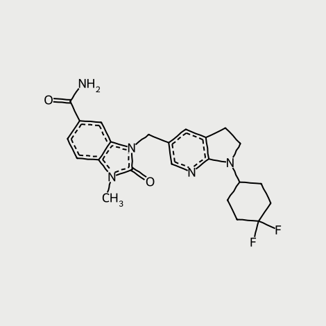 Cn1c(=O)n(Cc2cnc3c(c2)CCN3C2CCC(F)(F)CC2)c2cc(C(N)=O)ccc21